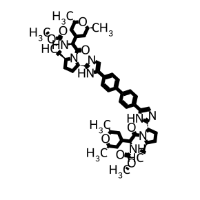 C#C[C@@H]1CC[C@@H](c2ncc(-c3ccc(-c4ccc(-c5cnc([C@@H]6CC[C@@H](C#C)N6C(=O)[C@@H](NC(=O)OC)C6C[C@@H](C)O[C@H](C)C6)[nH]5)cc4)cc3)[nH]2)N1C(=O)[C@@H](NC(=O)OC)C1C[C@@H](C)O[C@H](C)C1